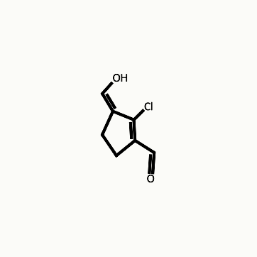 O=CC1=C(Cl)/C(=C\O)CC1